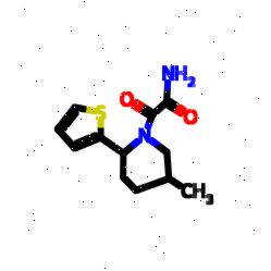 CC1CCC(c2cccs2)N(C(=O)C(N)=O)C1